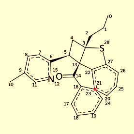 CCC[C@]12C[C@H](c3ccc(C)cn3)[C@@]1(C(=O)c1ccccc1)c1ccccc1S2